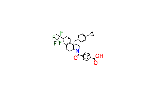 CC(F)(c1ccc2c(c1)CCC1N(C(=O)C34CCC(C(=O)O)(CC3)CC4)CCC21Cc1ccc(C2CC2)cc1)C(F)(F)F